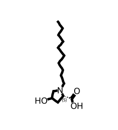 CCCCCCCCCCN1CC(O)C[C@H]1C(=O)O